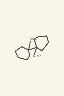 CCCCCC1(C2(OC)CCCCC2)CCCCC1